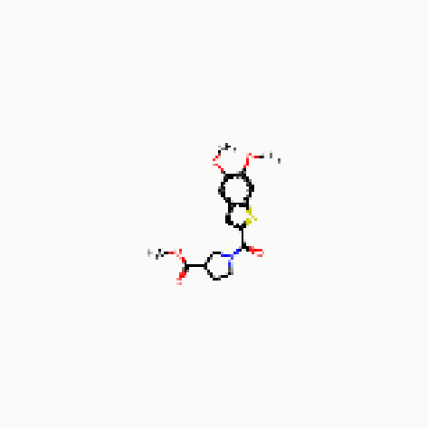 COC(=O)C1CCN(C(=O)c2cc3cc(OC)c(OC)cc3s2)C1